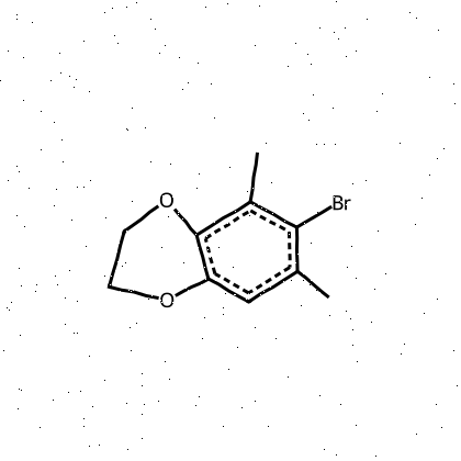 Cc1cc2c(c(C)c1Br)OCCO2